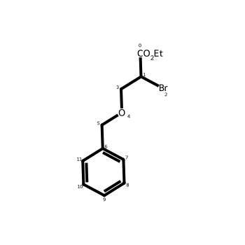 CCOC(=O)C(Br)COCc1ccccc1